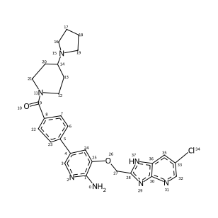 Nc1ncc(-c2ccc(C(=O)N3CCC(N4CCCC4)CC3)cc2)cc1OCc1nc2ncc(Cl)cc2[nH]1